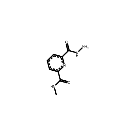 CNC(=O)c1cccc(C(=O)NN)n1